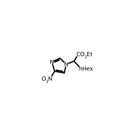 CCCCCCC(C(=O)OCC)n1cnc([N+](=O)[O-])c1